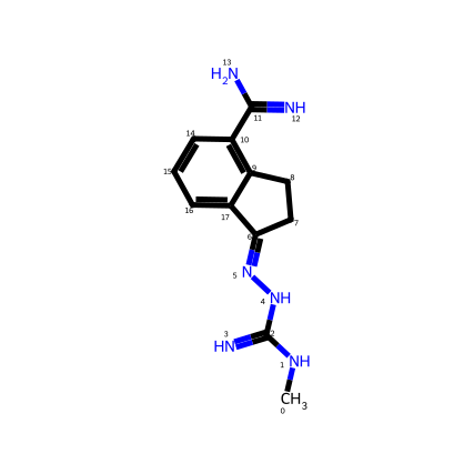 CNC(=N)N/N=C1\CCc2c(C(=N)N)cccc21